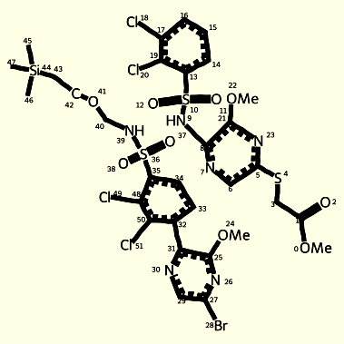 COC(=O)CSc1cnc(NS(=O)(=O)c2cccc(Cl)c2Cl)c(OC)n1.COc1nc(Br)cnc1-c1ccc(S(=O)(=O)NCOCC[Si](C)(C)C)c(Cl)c1Cl